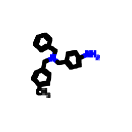 Cc1ccc(CN(Cc2ccccc2)Cc2ccc(N)cc2)cc1